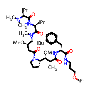 CC[C@H](C)[C@@H]([C@@H](CC(=O)N1CCC[C@H]1[C@H](OC)[C@@H](C)C(=O)N[C@@H](Cc1ccccc1)C(=O)NCCCOC(C)C)OC)N(C)C(=O)[C@@H](NC(=O)[C@H](C(C)C)N(C)C)C(C)C